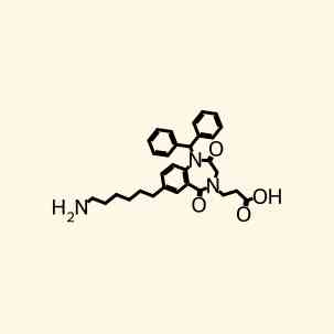 NCCCCCCc1ccc2c(c1)C(=O)N(CCC(=O)O)CC(=O)N2C(c1ccccc1)c1ccccc1